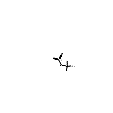 [CH2]C(C)(O)O[SH](=O)=O